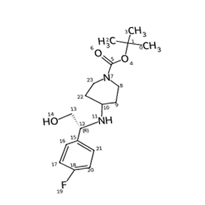 CC(C)(C)OC(=O)N1CCC(N[C@@H](CO)c2ccc(F)cc2)CC1